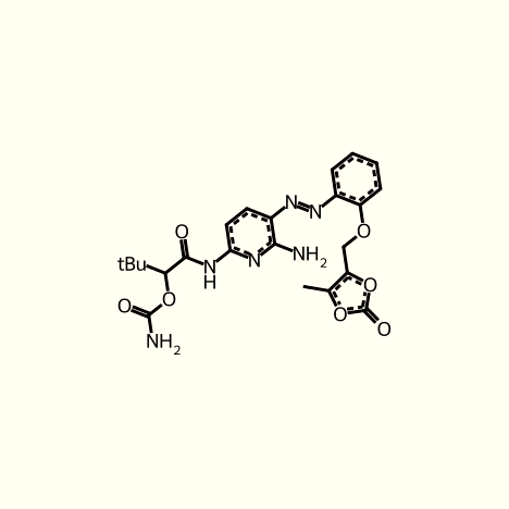 Cc1oc(=O)oc1COc1ccccc1N=Nc1ccc(NC(=O)C(OC(N)=O)C(C)(C)C)nc1N